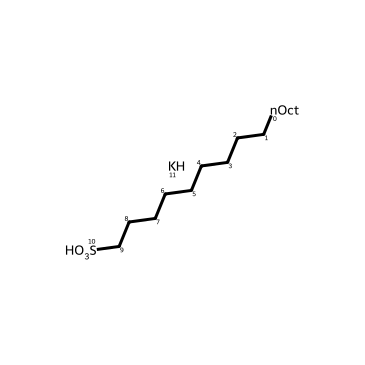 CCCCCCCCCCCCCCCCCS(=O)(=O)O.[KH]